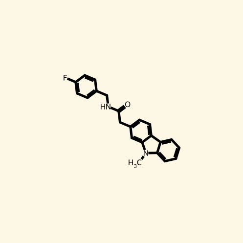 Cn1c2ccccc2c2ccc(CC(=O)NCc3ccc(F)cc3)cc21